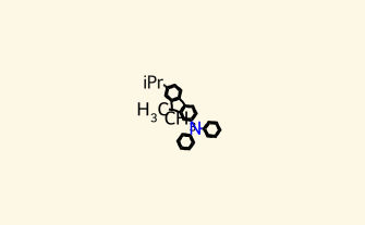 CC(C)c1ccc2c(c1)C(C)(C)c1cc(N(c3ccccc3)c3ccccc3)ccc1-2